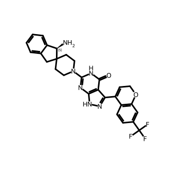 N[C@@H]1c2ccccc2CC12CCN(c1nc3[nH]nc(C4=CCOc5cc(C(F)(F)F)ccc54)c3c(=O)[nH]1)CC2